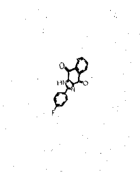 O=C1c2ccccc2C(=O)c2[nH]c(-c3ccc(F)cc3)nc21